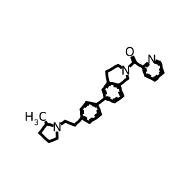 CC1CCCN1CCc1ccc(-c2ccc3c(c2)CCN(C(=O)c2ccccn2)C3)cc1